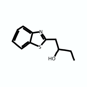 CCC(O)Cc1nc2ccccc2s1